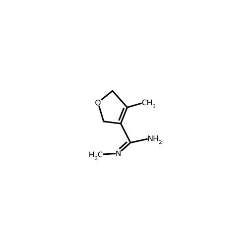 C/N=C(/N)C1=C(C)COC1